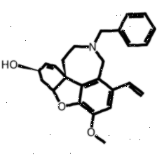 C=Cc1cc(OC)c2c3c1CN(Cc1ccccc1)CC[C@@]31C=C[C@H](O)CC1O2